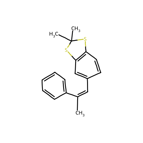 CC(=Cc1ccc2c(c1)SC(C)(C)S2)c1ccccc1